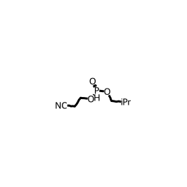 CC(C)CO[PH](=O)OCCC#N